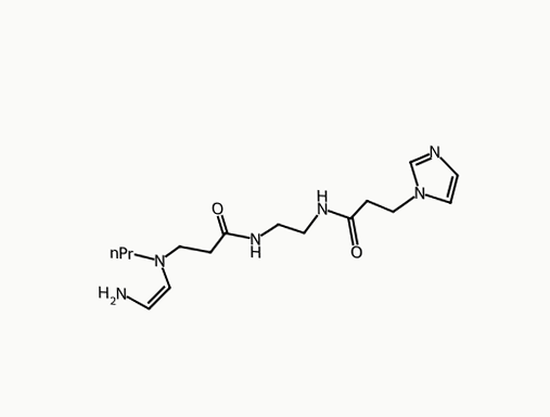 CCCN(/C=C\N)CCC(=O)NCCNC(=O)CCn1ccnc1